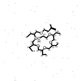 C=C(C)CCOCC(CC)OCC(CC)OCC(CC)OCC(CC)OCC(CC)OCCO